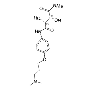 CNC(=O)[C@H](O)[C@@H](O)C(=O)Nc1ccc(OCCCN(C)C)cc1